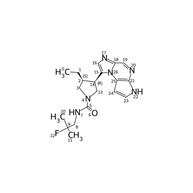 CC[C@@H]1CN(C(=O)NCC(C)(C)F)C[C@@H]1c1cnc2cnc3[nH]ccc3n12